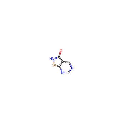 O=c1[nH]sc2ncncc12